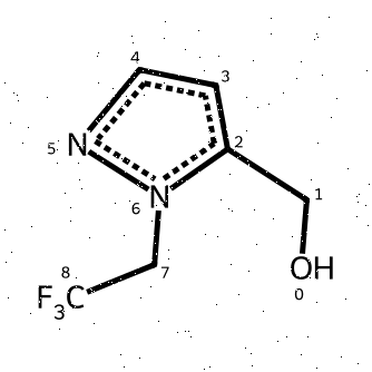 OCc1ccnn1CC(F)(F)F